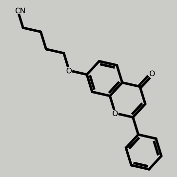 N#CCCCCOc1ccc2c(=O)cc(-c3ccccc3)oc2c1